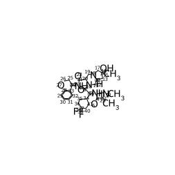 CN[C@@H](C)C(=O)N[C@H](C(=O)N1C[C@H]2CC(C)(O)CN2CC1C(=O)N[C@@H]1CCOc2ccccc21)C1CCC(F)(F)CC1